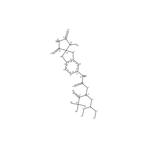 CCC(CC)CN(CC(=O)Nc1ccc2c(c1)CC1(C2)C(=O)NC(=O)N1C)C(=O)C(C)(C)C